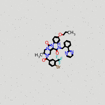 CCCOc1ccc(-n2c(C(=O)NCc3ccccc3-c3ncccn3)c3n(c2=O)C[C@@H](C)N(C(=O)c2ccc(Br)c(C(F)(F)F)c2)C3)cc1